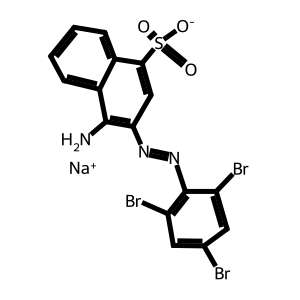 Nc1c(N=Nc2c(Br)cc(Br)cc2Br)cc(S(=O)(=O)[O-])c2ccccc12.[Na+]